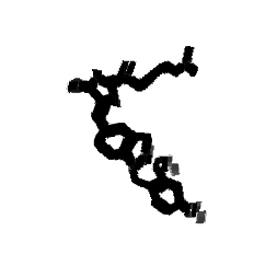 CN(C)CCCNC1=NC(=O)C(=Cc2ccc3c(cnn3Cc3ccc(C(F)(F)F)cc3C(F)(F)F)c2)S1